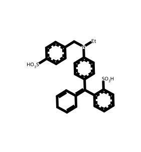 CCN(Cc1ccc(S(=O)(=O)O)cc1)c1ccc(C(=C2C=CCC=C2)c2ccccc2S(=O)(=O)O)cc1